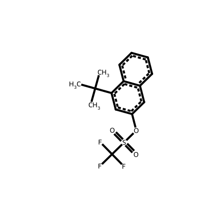 CC(C)(C)c1cc(OS(=O)(=O)C(F)(F)F)cc2ccccc12